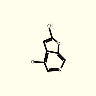 Cc1cc2c(Cl)cncc2o1